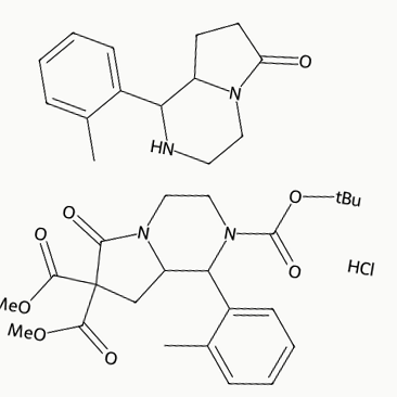 COC(=O)C1(C(=O)OC)CC2C(c3ccccc3C)N(C(=O)OC(C)(C)C)CCN2C1=O.Cc1ccccc1C1NCCN2C(=O)CCC12.Cl